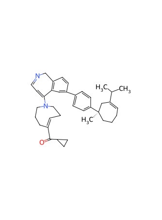 CC(C)C1=CCCC[C@@](C)(c2ccc(-c3ccc4c(c3)C(N3CC/C=C(\C(=O)C5CC5)CCC3)=CC=NC4)cc2)C1